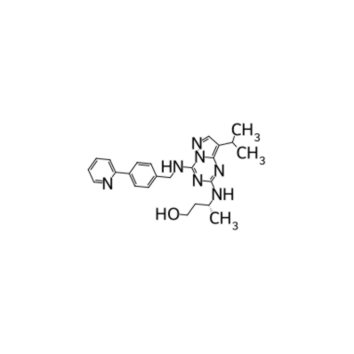 CC(C)c1cnn2c(NCc3ccc(-c4ccccn4)cc3)nc(N[C@H](C)CCO)nc12